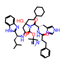 CC(C)C[C@H](NC(=O)C[C@@](O)(CCC1CCCCC1)N(C(=O)OC(C)(C)C)C(=O)[C@H](Cc1c[nH]cn1)NC(=O)[C@@H](N)Cc1ccccc1)c1nc2ccccc2[nH]1